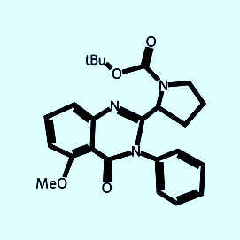 COc1cccc2nc(C3CCCN3C(=O)OC(C)(C)C)n(-c3ccccc3)c(=O)c12